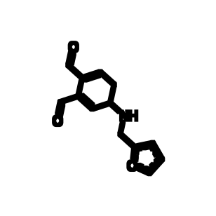 O=CC1=CCC(NCc2ccco2)C=C1C=O